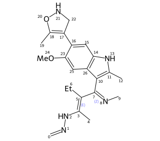 C=NN/C(C)=C(CC)/C(=N/C)c1c(C)[nH]c2cc(C3=C(C)ONC3)c(OC)cc12